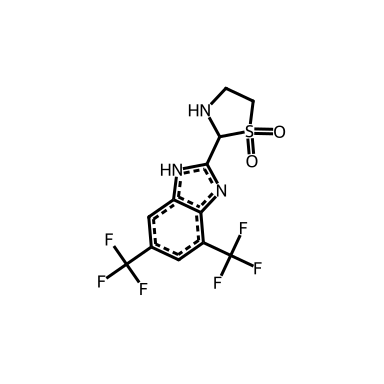 O=S1(=O)CCNC1c1nc2c(C(F)(F)F)cc(C(F)(F)F)cc2[nH]1